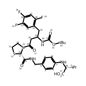 CC(C)[C@@H](Nc1ccc(CNC(=O)[C@@H]2SCCN2C(=O)CC(Cc2cc(F)c(F)cc2F)NC(=O)OC(C)(C)C)cc1)C(=O)O